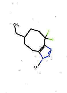 CCC1CCc2c(nnn2C)C(F)(F)CC1